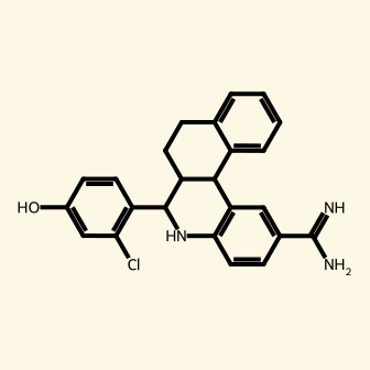 N=C(N)c1ccc2c(c1)C1c3ccccc3CCC1C(c1ccc(O)cc1Cl)N2